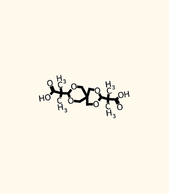 CC(C)(C(=O)O)C1OCC2(CO1)COC(C(C)(C)C(=O)O)OC2